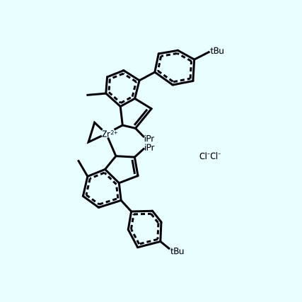 Cc1ccc(-c2ccc(C(C)(C)C)cc2)c2c1[CH]([Zr+2]1([CH]3C(C(C)C)=Cc4c(-c5ccc(C(C)(C)C)cc5)ccc(C)c43)[CH2][CH2]1)C(C(C)C)=C2.[Cl-].[Cl-]